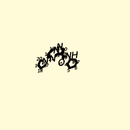 O=C(NC1CCCCC1)c1cnn2ccc(N3CCCC3)nc12